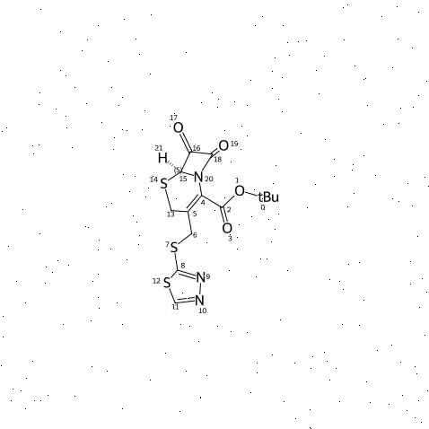 CC(C)(C)OC(=O)C1=C(CSc2nncs2)CS[C@H]2C(=O)C(=O)N12